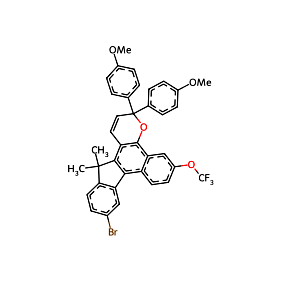 COc1ccc(C2(c3ccc(OC)cc3)C=Cc3c4c(c5ccc(OC(F)(F)F)cc5c3O2)-c2cc(Br)ccc2C4(C)C)cc1